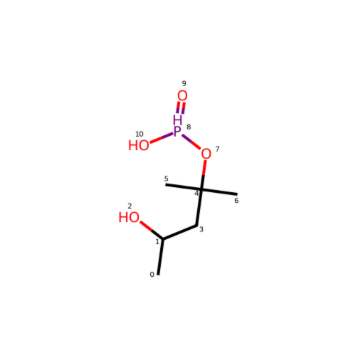 CC(O)CC(C)(C)O[PH](=O)O